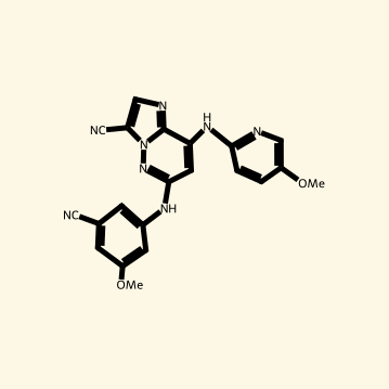 COc1ccc(Nc2cc(Nc3cc(C#N)cc(OC)c3)nn3c(C#N)cnc23)nc1